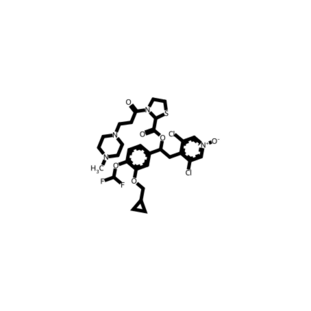 CN1CCN(CCC(=O)N2CCSC2C(=O)OC(Cc2c(Cl)c[n+]([O-])cc2Cl)c2ccc(OC(F)F)c(OCC3CC3)c2)CC1